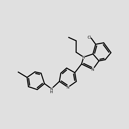 CCCn1c(-c2ccc(Nc3ccc(C)cc3)nc2)nc2cccc(Cl)c21